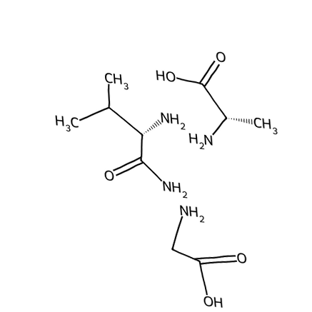 CC(C)[C@H](N)C(N)=O.C[C@H](N)C(=O)O.NCC(=O)O